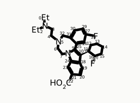 CCN(CC)CCN1CCn2c(c([C@H]3CCCC[C@@H]3F)c3ccc(C(=O)O)cc32)-c2cc(F)ccc2C1